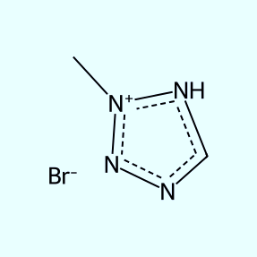 C[n+]1nnc[nH]1.[Br-]